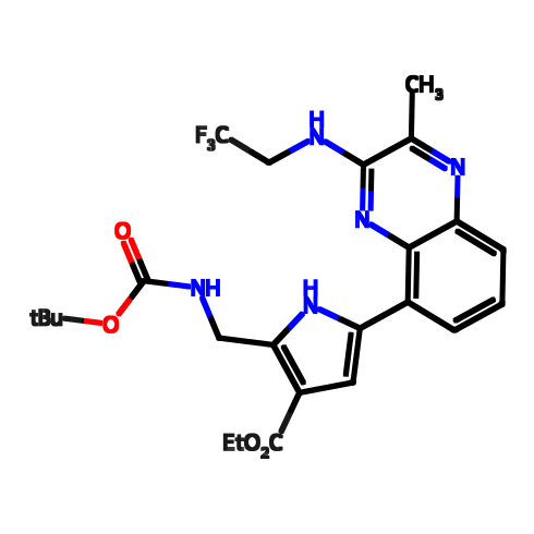 CCOC(=O)c1cc(-c2cccc3nc(C)c(NCC(F)(F)F)nc23)[nH]c1CNC(=O)OC(C)(C)C